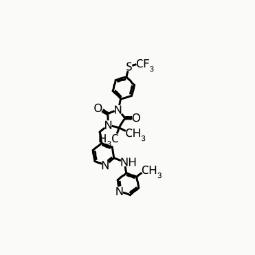 Cc1ccncc1Nc1cc(CN2C(=O)N(c3ccc(SC(F)(F)F)cc3)C(=O)C2(C)C)ccn1